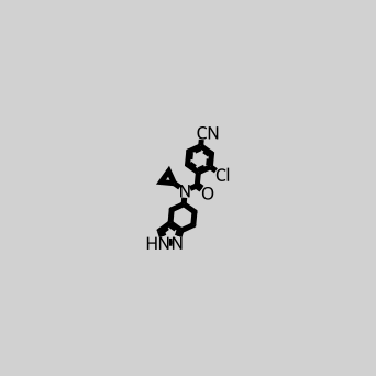 N#Cc1ccc(C(=O)N(C2CC2)C2CCc3n[nH]cc3C2)c(Cl)c1